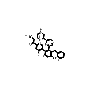 Cc1cc(C(=O)CC=O)ncc1-c1ccc(C)c(Cc2ccccc2)c1-c1cncc(C2CNCCN2)n1